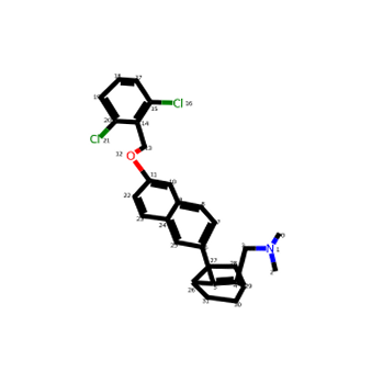 CN(C)CC1=C(c2ccc3cc(OCc4c(Cl)cccc4Cl)ccc3c2)C2CCC1CC2